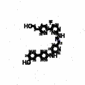 OCCc1ccc(-c2nc(N/N=C/c3ccc(Nc4ccc(-c5cccc(O)c5)cc4)cn3)ncc2F)nc1